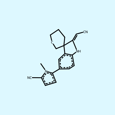 Cn1c(C#N)ccc1-c1ccc2c(c1)C1(CCCCC1)C(=CC#N)N2